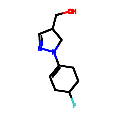 OCC1C=NN(C2=CCC(F)CC2)C1